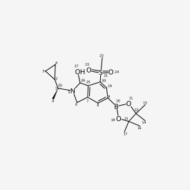 C[C@@H](C1CC1)N1Cc2cc(B3OC(C)(C)C(C)(C)O3)cc(S(C)(=O)=O)c2C1O